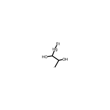 [CH2]C(O)[CH](O)[Hg][CH2]C